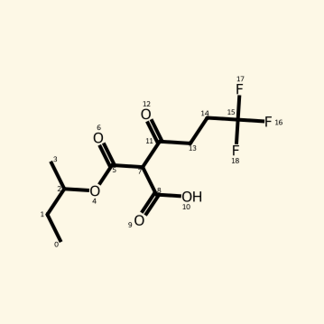 CCC(C)OC(=O)C(C(=O)O)C(=O)CCC(F)(F)F